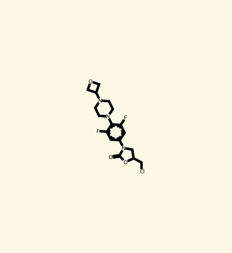 O=C1OC(CCl)CN1c1cc(F)c(N2CCN(C3COC3)CC2)c(F)c1